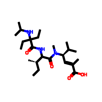 CC[C@H](C)C(NC(=O)C(CC)(CC)NC(C)C)C(=O)N(C)[C@H](/C=C(\C)C(=O)O)C(C)C